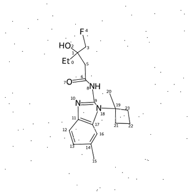 CCC(O)(CF)CC(=O)Nc1nc2ccc(C)cc2n1C1(C)CCC1